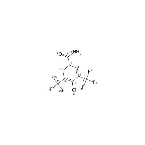 NC(=O)C1C=C(C(F)(F)F)C(Cl)=C(C(F)(F)F)C1